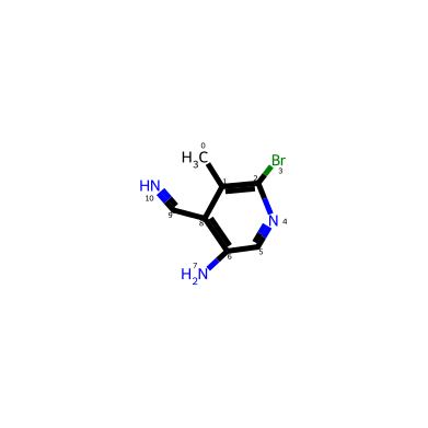 Cc1c(Br)ncc(N)c1C=N